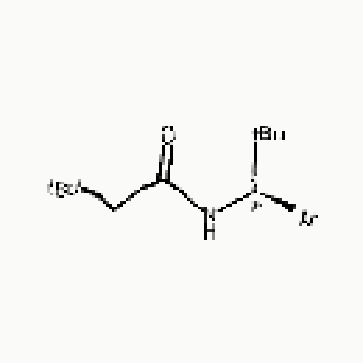 CC(=O)[C@@H](NC(=O)CC(C)(C)C)C(C)(C)C